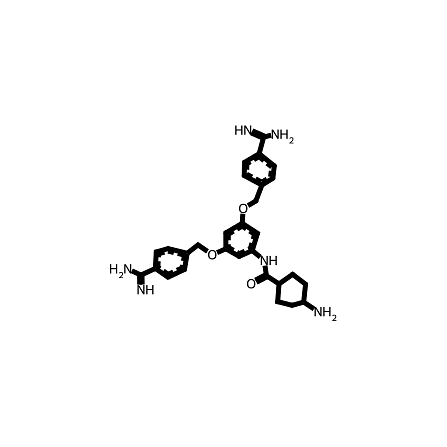 N=C(N)c1ccc(COc2cc(NC(=O)C3CCC(N)CC3)cc(OCc3ccc(C(=N)N)cc3)c2)cc1